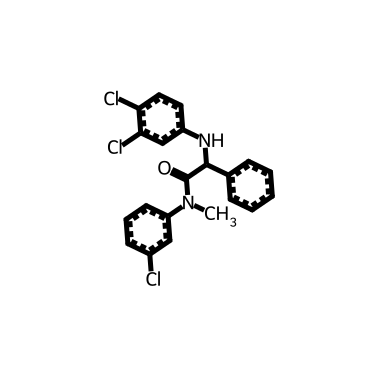 CN(C(=O)C(Nc1ccc(Cl)c(Cl)c1)c1ccccc1)c1cccc(Cl)c1